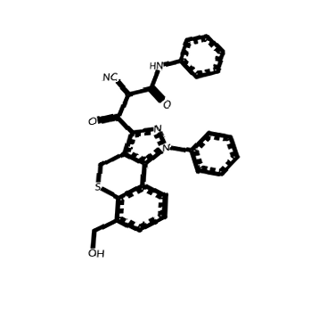 N#CC(C(=O)Nc1ccccc1)C(=O)c1nn(-c2ccccc2)c2c1CSc1c(CO)cccc1-2